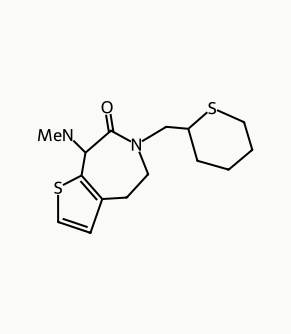 CNC1C(=O)N(CC2CCCCS2)CCc2ccsc21